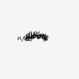 Cc1noc(NC(=O)N2CCC(=Cc3cccc(Oc4ccc(C(F)(F)F)cn4)c3)C(C)C2)c1C